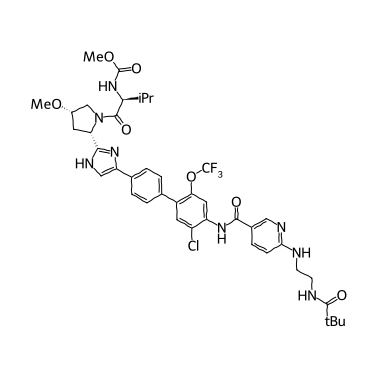 COC(=O)N[C@H](C(=O)N1C[C@@H](OC)C[C@H]1c1nc(-c2ccc(-c3cc(Cl)c(NC(=O)c4ccc(NCCNC(=O)C(C)(C)C)nc4)cc3OC(F)(F)F)cc2)c[nH]1)C(C)C